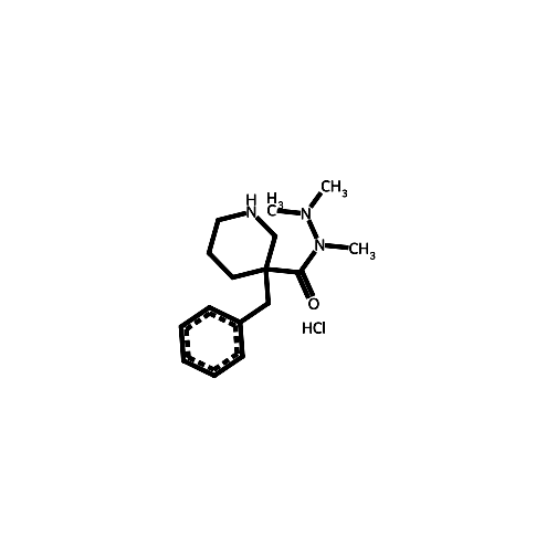 CN(C)N(C)C(=O)C1(Cc2ccccc2)CCCNC1.Cl